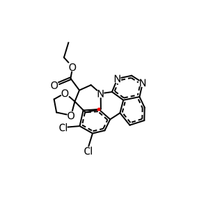 CCOC(=O)C1CN(c2ncnc3cccc(-c4ccc(Cl)c(Cl)c4)c23)CCC12OCCO2